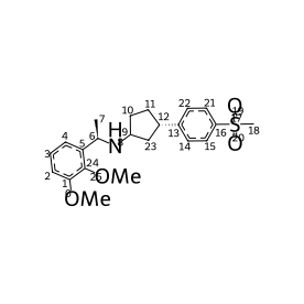 COc1cccc([C@@H](C)NC2CC[C@H](c3ccc(S(C)(=O)=O)cc3)C2)c1OC